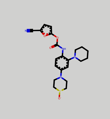 N#Cc1ccc(OC(=O)Nc2ccc(N3CC[S+]([O-])CC3)cc2N2CCCCC2)o1